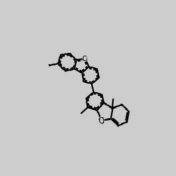 Cc1ccc2oc3ccc(-c4cc(C)c5c(c4)C4(C)CC=CC=C4O5)cc3c2c1